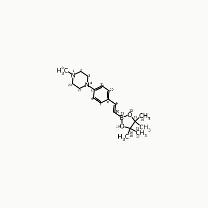 CN1CCN(c2ccc(/C=C/B3OC(C)(C)C(C)(C)O3)cc2)CC1